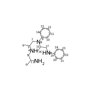 CC(N)CNC(C)CN(c1ccccc1)C(C)CNc1ccccc1